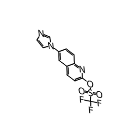 O=S(=O)(Oc1ccc2cc(-n3ccnc3)ccc2n1)C(F)(F)F